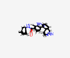 Cc1ccc(NC(=O)c2ccc(-c3cccc4c3CCNC4)c(N)c2C)cc1